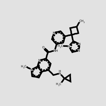 CC1CC(c2cncc(NC(=O)c3cc(CNC4(C)CC4)c4ccn(C)c4n3)c2)(c2nncn2C)C1